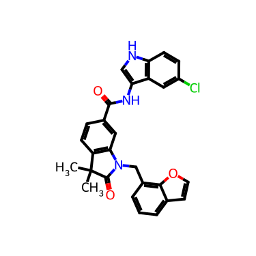 CC1(C)C(=O)N(Cc2cccc3ccoc23)c2cc(C(=O)Nc3c[nH]c4ccc(Cl)cc34)ccc21